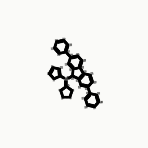 C1=CC[C]([Zr](=[C]2CCCC2)[CH]2c3cc(-c4ccccc4)ccc3-c3ccc(-c4ccccc4)cc32)=C1